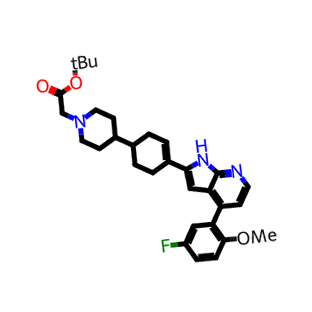 COc1ccc(F)cc1-c1ccnc2[nH]c(C3=CCC(C4CCN(CC(=O)OC(C)(C)C)CC4)CC3)cc12